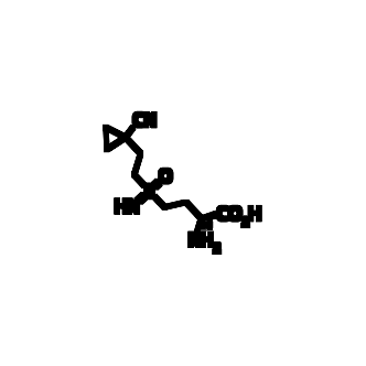 N#CC1(CCS(=N)(=O)CC[C@H](N)C(=O)O)CC1